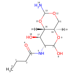 CCCC(=O)N[C@H]1C(O)O[C@@H]2COC(N)O[C@H]2[C@@H]1O